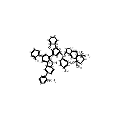 Cc1ccccc1-c1ccc2[nH]c3c(-c4cc(N(c5ccc(C(C)(C)C)cc5)c5csc6cc7c(cc56)C(C)(C)CCC7(C)C)cc5c4oc4ccccc45)cc(-c4ccccc4C)cc3c2c1